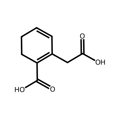 O=C(O)CC1=C(C(=O)O)CCC=C1